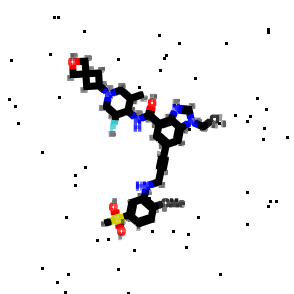 COc1ccc(S(C)(=O)=O)cc1NCC#Cc1cc(C(=O)NC2C(C)CN(C3CC4(COC4)C3)CC2F)c2ncn(CC(F)(F)F)c2c1